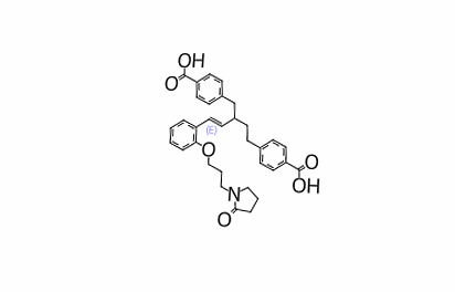 O=C(O)c1ccc(CCC(/C=C/c2ccccc2OCCCN2CCCC2=O)Cc2ccc(C(=O)O)cc2)cc1